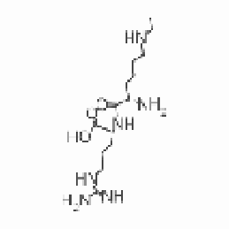 CCNCCCC[C@H](N)C(=O)N[C@@H](CCCNC(=N)N)C(=O)O